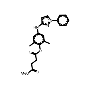 COC(=O)CCC(=O)Oc1c(C)cc(Nc2ccn(-c3ccccc3)n2)cc1C